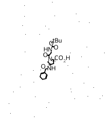 CC(C)(C)OC(=O)NCC(=O)N1C[C@H](NC(=O)C2=CCCC=C2)C[C@H]1C(=O)O